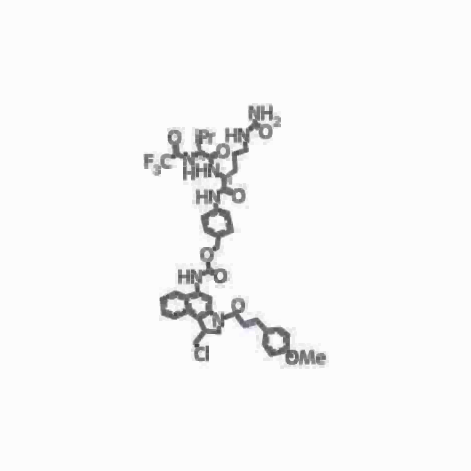 COc1ccc(/C=C/C(=O)N2CC(CCl)c3c2cc(NC(=O)OCc2ccc(NC(=O)[C@H](CCCNC(N)=O)NC(=O)[C@@H](NC(=O)C(F)(F)F)C(C)C)cc2)c2ccccc32)cc1